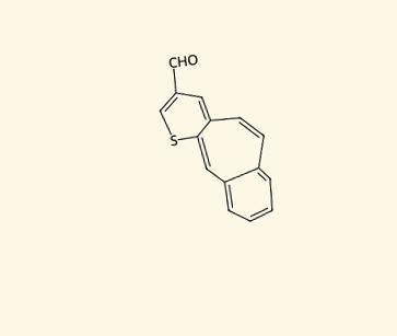 O=CC1=CSC2=Cc3ccccc3C=CC2=C1